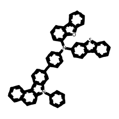 c1ccc(-n2c3cc(-c4ccc(N(c5ccc6c(c5)sc5ccccc56)c5cccc6c5oc5ccccc56)cc4)ccc3c3c4ccccc4ccc32)cc1